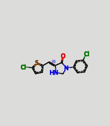 O=C1/C(=C/c2ccc(Cl)s2)NCN1c1cccc(Cl)c1